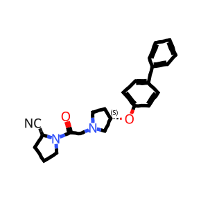 N#CC1CCCN1C(=O)CN1CC[C@H](Oc2ccc(-c3ccccc3)cc2)C1